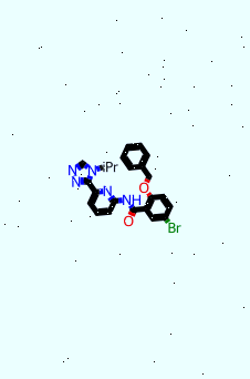 CC(C)n1cnnc1-c1cccc(NC(=O)c2cc(Br)ccc2OCc2ccccc2)n1